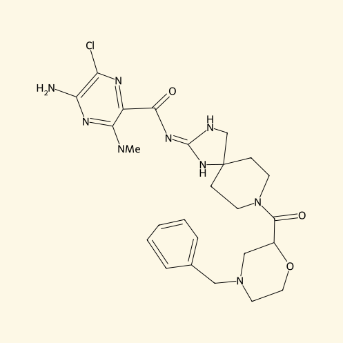 CNc1nc(N)c(Cl)nc1C(=O)/N=C1\NCC2(CCN(C(=O)C3CN(Cc4ccccc4)CCO3)CC2)N1